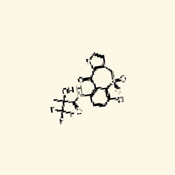 CC(O)(C(=O)Nc1ccc(Cl)c2c1C(=O)c1sccc1CS2(=O)=O)C(F)(F)F